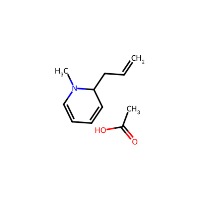 C=CCC1C=CC=CN1C.CC(=O)O